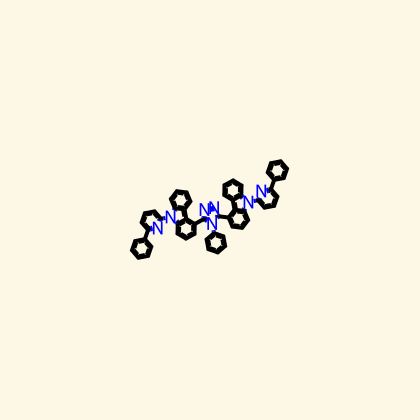 c1ccc(-c2cccc(-n3c4ccccc4c4c(-c5nnc(-c6cccc7c6c6ccccc6n7-c6cccc(-c7ccccc7)n6)n5-c5ccccc5)cccc43)n2)cc1